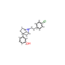 Oc1cccc(C23CCC(C2)N(CCc2ccc(Cl)cc2)CC3)c1